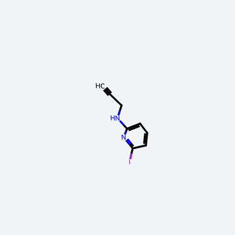 C#CCNc1cccc(I)n1